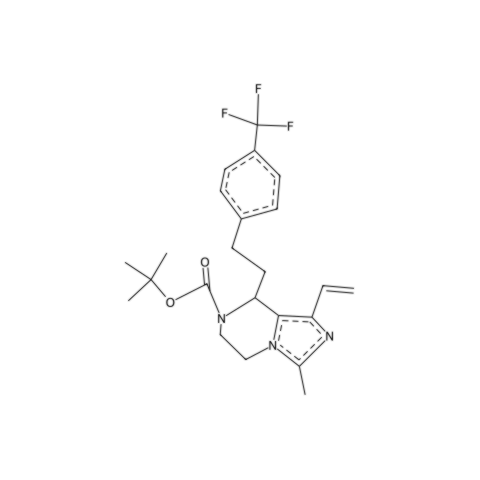 C=Cc1nc(C)n2c1C(CCc1ccc(C(F)(F)F)cc1)N(C(=O)OC(C)(C)C)CC2